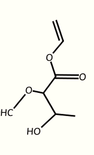 C=COC(=O)C(OC=O)C(C)O